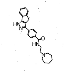 O=C(NCCN1CCCCCC1)c1ccc(-c2n[nH]c3c2Cc2ccccc2-3)cc1